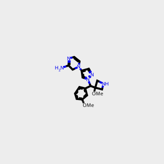 COc1cccc(C(n2cc(N3C=CN=C(N)C3)cn2)C2(OC)CNC2)c1